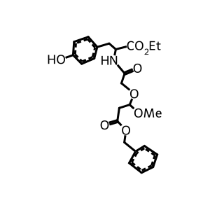 CCOC(=O)C(Cc1ccc(O)cc1)NC(=O)COC(CC(=O)OCc1ccccc1)OC